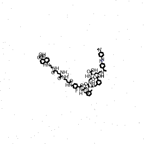 C=C(NCCCC[C@H](NC(=O)CNC(=O)[C@H](COCc1cccc(C(=O)O)c1)NC(=O)[C@H](Cc1cccc(C)c1)NC(=O)c1ccc(NC(=O)CCCNC(=O)C(N)CCC(=O)NCCNc2cccc3c(S(=O)(=O)O)cccc23)cc1F)C(=O)O)c1ccc(/N=N/c2ccc(N(C)C)cc2)cc1